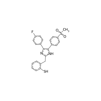 CS(=O)(=O)c1ccc(-c2[nH]c(Cc3ccccc3S)nc2-c2ccc(F)cc2)cc1